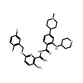 CN1CCC(c2ccc(C(=O)NC(=N)c3nc(OCc4cc(F)ccc4F)ccc3N)c(NC3CCOCC3)c2)CC1